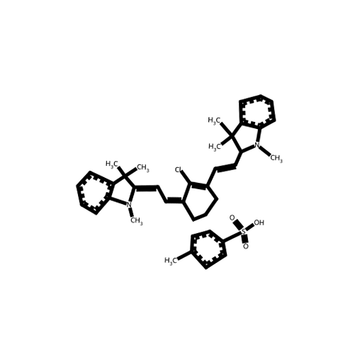 CN1C(=CC=C2CCCC(C=CC3N(C)c4ccccc4C3(C)C)=C2Cl)C(C)(C)c2ccccc21.Cc1ccc(S(=O)(=O)O)cc1